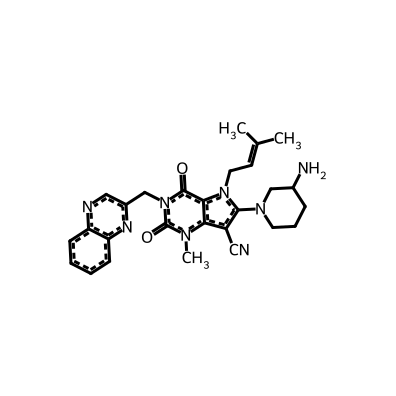 CC(C)=CCn1c(N2CCCC(N)C2)c(C#N)c2c1c(=O)n(Cc1cnc3ccccc3n1)c(=O)n2C